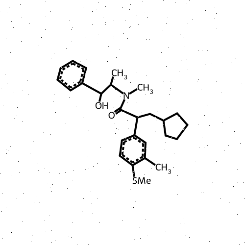 CSc1ccc(C(CC2CCCC2)C(=O)N(C)C(C)C(O)c2ccccc2)cc1C